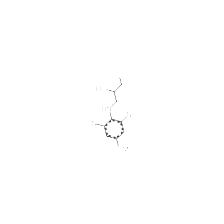 COc1cc([N+](=O)[O-])c(NCC(O)CO)c([N+](=O)[O-])c1